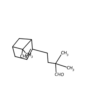 CC(C)(C=O)CCC1=CCC2CC1C2(C)C